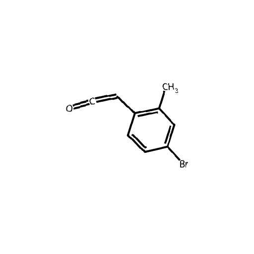 Cc1cc(Br)ccc1C=C=O